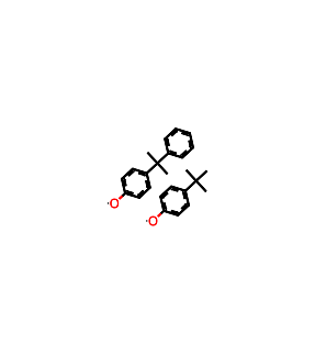 CC(C)(C)c1ccc([O])cc1.CC(C)(c1ccccc1)c1ccc([O])cc1